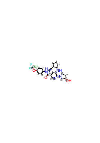 N#CC1CCCC1Nc1cc(C(=O)Nc2ccc(OC(F)(F)Cl)cc2)cnc1N1CCC(O)C1